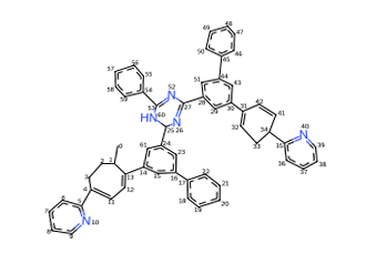 CC1CCC(c2ccccn2)=CC=C1c1cc(-c2ccccc2)cc(C2N=C(c3cc(C4=CCC(c5ccccn5)C=C4)cc(-c4ccccc4)c3)N=C(c3ccccc3)N2)c1